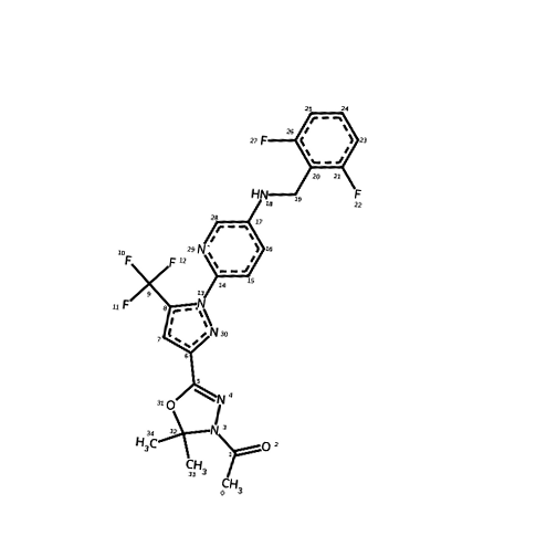 CC(=O)N1N=C(c2cc(C(F)(F)F)n(-c3ccc(NCc4c(F)cccc4F)cn3)n2)OC1(C)C